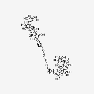 C[C@H]1O[C@H](O[C@@H]2[C@@H](CO)C[C@H](O[C@H]3C(O)[C@@H](O)[C@H](OCc4cn(CCOCCOCCOCCOCCn5cc(CO[C@@H]6O[C@H](CO)C(O[C@H]7O[C@H](CO)[C@@H](O[C@H]8O[C@H](C)[C@@H](N[C@H]9C=C(CO)[C@@H](O)[C@H](O)[C@H]9O)[C@H](O)[C@H]8O)[C@H](O)[C@H]7O)[C@H](O)[C@H]6O)nn5)nn4)C[C@@H]3CO)[C@H](O)[C@H]2O)[C@H](O)[C@@H](O)[C@@H]1N[C@H]1C=C(CO)[C@@H](O)[C@H](O)C1O